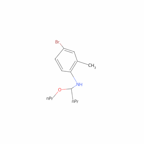 CCCOC(CCC)Nc1ccc(Br)cc1C